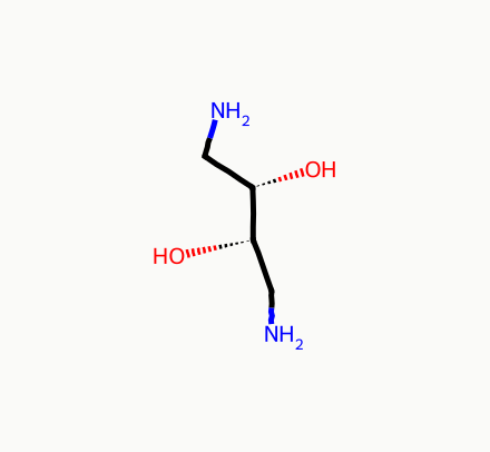 NC[C@H](O)[C@@H](O)CN